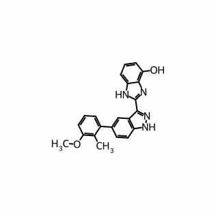 COc1cccc(-c2ccc3[nH]nc(-c4nc5c(O)cccc5[nH]4)c3c2)c1C